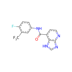 O=C(Nc1ccc(F)c(C(F)(F)F)c1)c1ccnc2nc[nH]c12